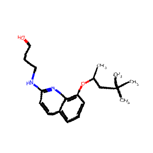 CC(CC(C)(C)C)Oc1cccc2ccc(NCCCO)nc12